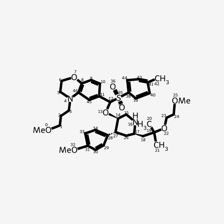 COCCCN1CCOc2ccc(C(O[C@H]3CN[C@@H](CC(C)(C)OCCOC)C[C@@H]3c3ccc(OC)cc3)S(=O)(=O)c3ccc(C)cc3)cc21